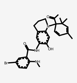 CNc1ccc(Br)cc1C(=O)Nc1cc2c(cc1O)N(C1(C(C)=O)C=CC(C)=CC1(C)C)CCC2